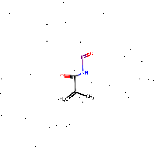 C=C(C)C(=O)NP=O